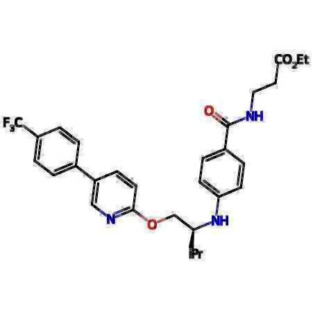 CCOC(=O)CCNC(=O)c1ccc(N[C@H](COc2ccc(-c3ccc(C(F)(F)F)cc3)cn2)C(C)C)cc1